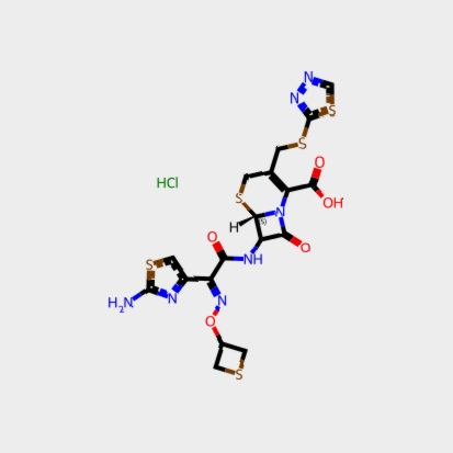 Cl.Nc1nc(C(=NOC2CSC2)C(=O)NC2C(=O)N3C(C(=O)O)=C(CSc4nncs4)CS[C@@H]23)cs1